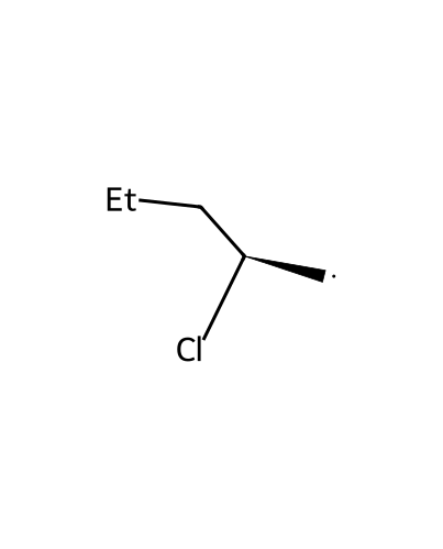 [CH2][C@@H](Cl)CCC